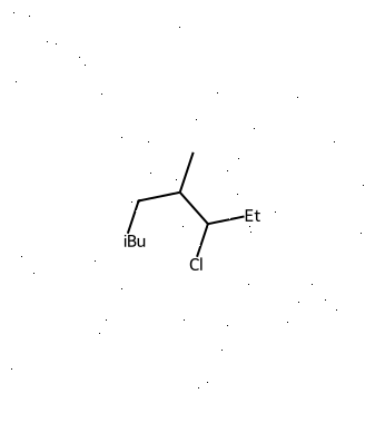 CCC(C)CC(C)C(Cl)CC